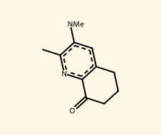 CNc1cc2c(nc1C)C(=O)CCC2